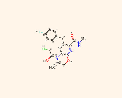 CCNC(=O)c1nc2c(cc1Cc1ccc(F)cc1)N(C(=O)CCl)[C@@H](C)CO2